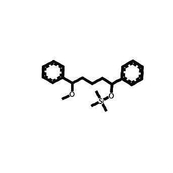 COC(CCCC(O[Si](C)(C)C)c1ccccc1)c1ccccc1